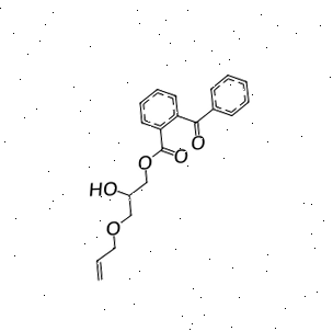 C=CCOCC(O)COC(=O)c1ccccc1C(=O)c1ccccc1